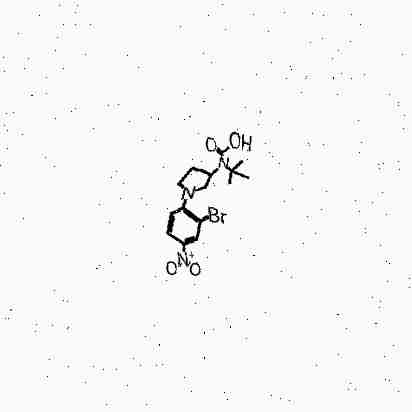 CC(C)(C)N(C(=O)O)C1CCN(c2ccc([N+](=O)[O-])cc2Br)C1